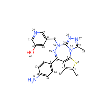 Cc1sc2c(c1C)C(c1ccc(N)cc1)=NN(Cc1cncc(O)c1)c1nnc(C)n1-2